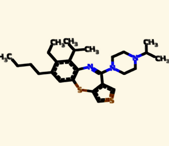 CCCCc1cc2c(c(C(C)C)c1CC)N=C(N1CCN(C(C)C)CC1)c1cscc1S2